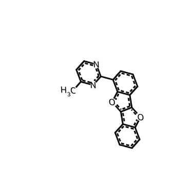 Cc1ccnc(-c2cccc3c2oc2c4ccccc4oc32)n1